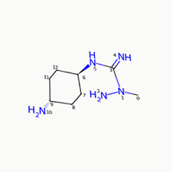 CN(N)C(=N)N[C@H]1CC[C@H](N)CC1